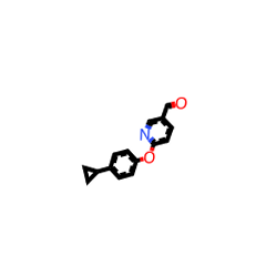 O=Cc1ccc(Oc2ccc(C3CC3)cc2)nc1